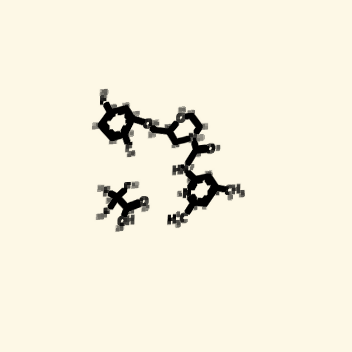 Cc1cc(C)nc(NC(=O)N2CCOC(COc3cc(F)ccc3F)C2)c1.O=C(O)C(F)(F)F